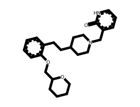 O=c1[nH]cccc1CN1CCC(CCc2ccccc2OCC2CCCCO2)CC1